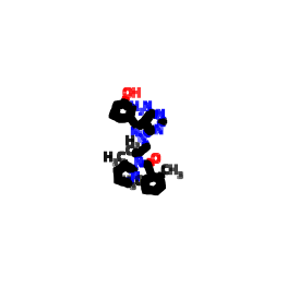 C=C(Cn1nc(-c2cccc(O)c2)c2c(N)ncnc21)N(C(=O)c1c(C)cccc1C)c1ncccc1C